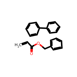 C=CC(=O)OCc1ccccc1.c1ccc(-c2ccccc2)cc1